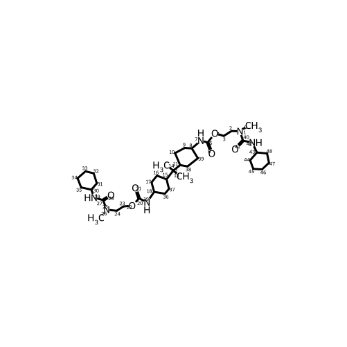 CN(CCOC(=O)NC1CCC(C(C)(C)C2CCC(NC(=O)OCCN(C)C(=O)NC3CCCCC3)CC2)CC1)C(=O)NC1CCCCC1